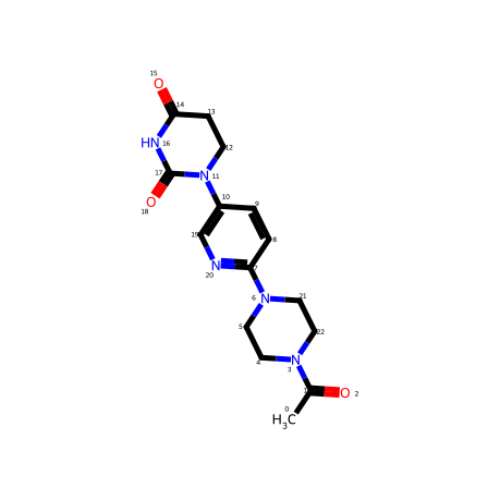 CC(=O)N1CCN(c2ccc(N3CCC(=O)NC3=O)cn2)CC1